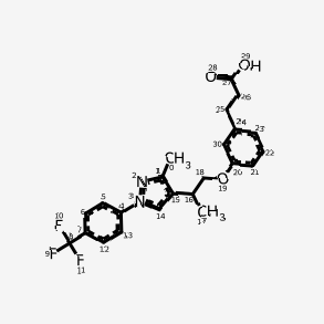 Cc1nn(-c2ccc(C(F)(F)F)cc2)cc1C(C)COc1cccc(CCC(=O)O)c1